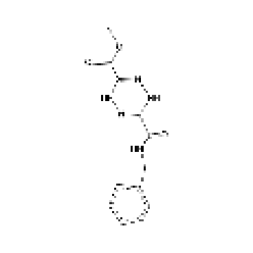 COC(=O)C1=NNC(C(=O)NCc2ccccc2)=NN1